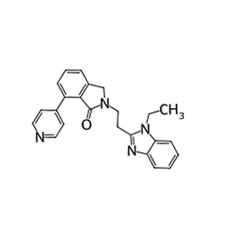 CCn1c(CCN2Cc3cccc(-c4ccncc4)c3C2=O)nc2ccccc21